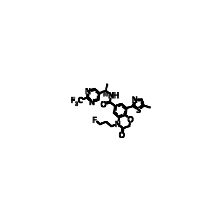 Cc1cnc(-c2cc(C(=O)N[C@H](C)c3cnc(C(F)(F)F)nc3)cc3c2OCC(=O)N3CCCF)s1